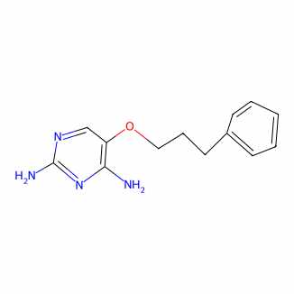 Nc1ncc(OCCCc2ccccc2)c(N)n1